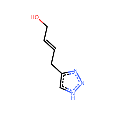 OCC=CCc1c[nH]nn1